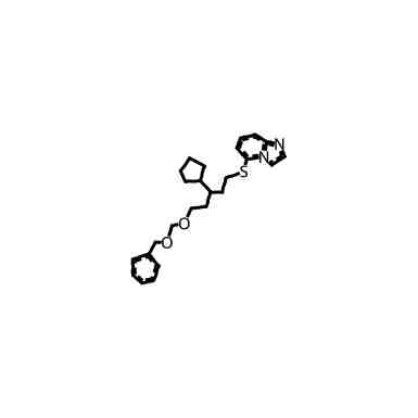 c1ccc(COCOCCC(CCSc2cccc3nccn23)C2CCCC2)cc1